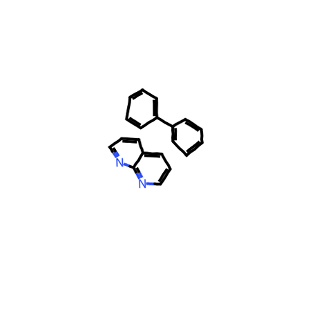 c1ccc(-c2ccccc2)cc1.c1cnc2ncccc2c1